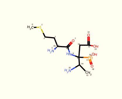 CSCC[C@H](N)C(=O)NC(CC(=O)O)(C(C)N)[PH](=O)O